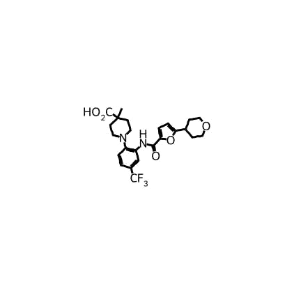 CC1(C(=O)O)CCN(c2ccc(C(F)(F)F)cc2NC(=O)c2ccc(C3CCOCC3)o2)CC1